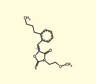 CCCCc1ccccc1/C=C1/OC(=S)N(CCOC)C1=O